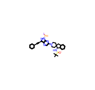 CC(C)(C)[S+]([O-])N[C@@H]1c2ccccc2CC12CCN(c1cnc3c(C#Cc4ccccc4)nn(PI)c3n1)CC2